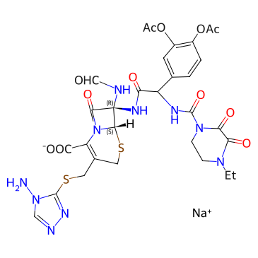 CCN1CCN(C(=O)NC(C(=O)N[C@]2(NC=O)C(=O)N3C(C(=O)[O-])=C(CSc4nncn4N)CS[C@H]32)c2ccc(OC(C)=O)c(OC(C)=O)c2)C(=O)C1=O.[Na+]